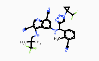 Cc1c(C#N)cccc1C(Nc1cc(C#N)c2ncc(C#N)c(NCC(C)(C)C(F)(F)F)c2c1)c1cn(C2(C(F)F)CC2)nn1